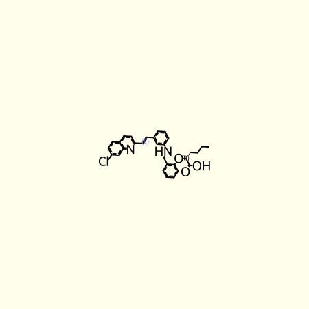 CCCC[C@@H](Oc1ccccc1CNc1cccc(/C=C/c2ccc3ccc(Cl)cc3n2)c1)C(=O)O